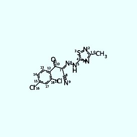 Cc1nsc(N/N=C(\C#N)C(=O)c2ccc(Cl)cc2Cl)n1